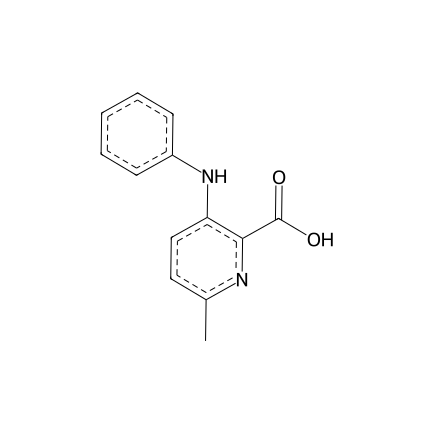 Cc1ccc(Nc2ccccc2)c(C(=O)O)n1